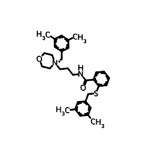 Cc1cc(C)cc(CSc2ccccc2C(=O)NCCC[N+]2(Cc3cc(C)cc(C)c3)CCOCC2)c1